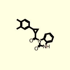 Cc1ccc(C2CC2C(=O)n2c(=O)[nH]c3ccccc32)cc1C